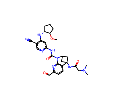 CO[C@@H]1CCC[C@H]1Nc1cc(NC(=O)N2c3nc(C=O)ccc3C3(NC(=O)CN(C)C)CC2C3)ncc1C#N